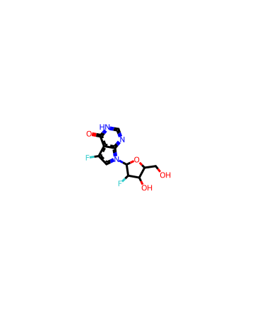 O=c1[nH]cnc2c1c(F)cn2C1OC(CO)C(O)C1F